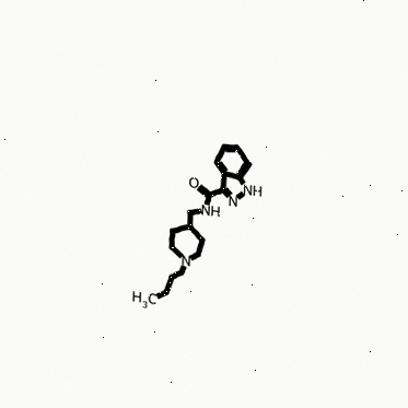 CCCCN1CCC(CNC(=O)c2n[nH]c3ccccc23)CC1